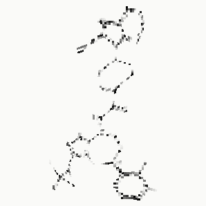 O=C(N[C@@H]1CC[C@@H](c2cccc(F)c2F)Cn2c(C3CC3(F)F)nnc21)N1CCC(n2c(=O)[nH]c3ncccc32)CC1